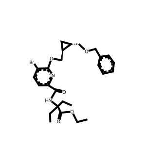 CCOC(=O)C(CC)(CC)NC(=O)c1ccc(Br)c(OC[C@H]2C[C@@H]2COCc2ccccc2)n1